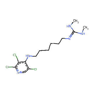 CNC(=NCCCCCCNc1c(Cl)cnc(Cl)c1Cl)NC